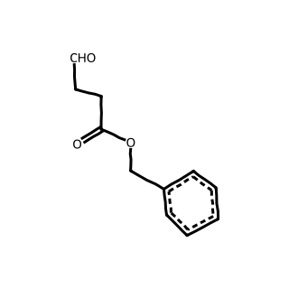 O=CCCC(=O)OCc1ccccc1